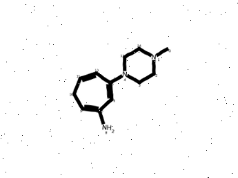 CN1CCN(C2=CC(N)=CCC=C2)CC1